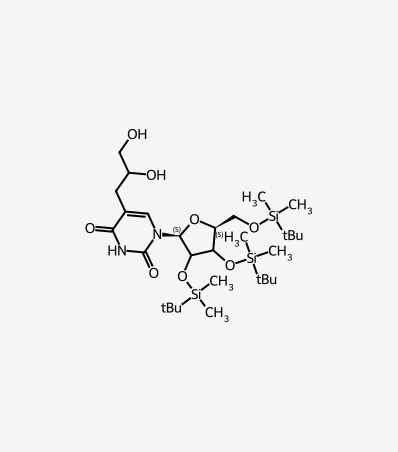 CC(C)(C)[Si](C)(C)OC[C@@H]1O[C@H](n2cc(CC(O)CO)c(=O)[nH]c2=O)C(O[Si](C)(C)C(C)(C)C)C1O[Si](C)(C)C(C)(C)C